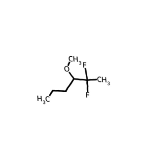 CCCC(OC)C(C)(F)F